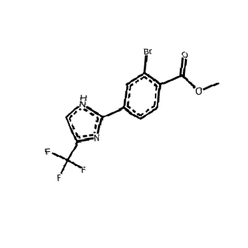 COC(=O)c1ccc(-c2nc(C(F)(F)F)c[nH]2)cc1Br